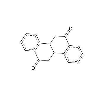 O=C1CC2c3ccccc3C(=O)CC2c2ccccc21